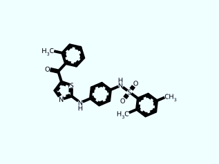 Cc1ccc(C)c(S(=O)(=O)Nc2ccc(Nc3ncc(C(=O)c4ccccc4C)s3)cc2)c1